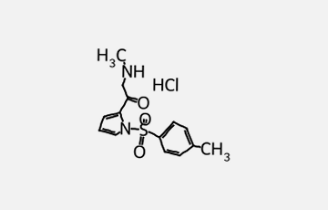 CNCC(=O)c1cccn1S(=O)(=O)c1ccc(C)cc1.Cl